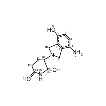 Nc1ccc(O)c2c1CN(C1CCC(=O)NC1=O)C2